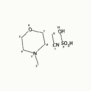 CC#N.CN1CCOCC1.O=S(=O)(O)O